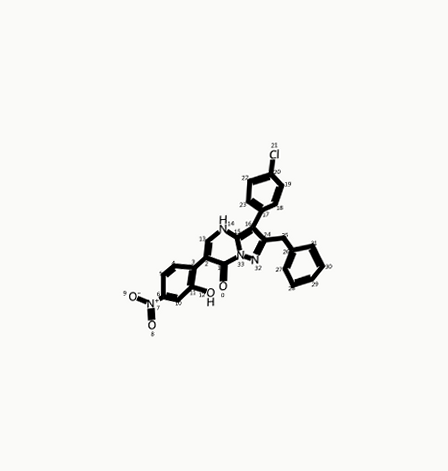 O=c1c(-c2ccc([N+](=O)[O-])cc2O)c[nH]c2c(-c3ccc(Cl)cc3)c(Cc3ccccc3)nn12